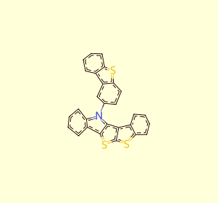 c1ccc2c(c1)sc1ccc(-n3c4ccccc4c4sc5sc6ccccc6c5c43)cc12